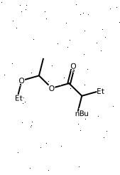 C[CH]OC(C)OC(=O)C(CC)CCCC